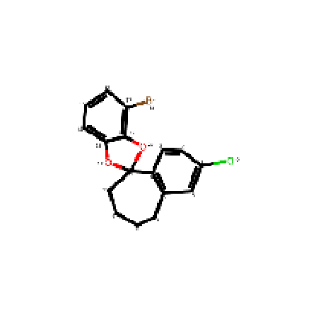 Clc1ccc2c(c1)CCCCC21Oc2cccc(Br)c2O1